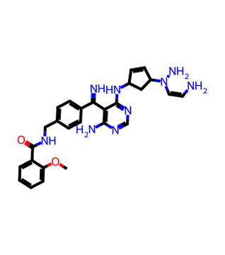 COc1ccccc1C(=O)NCc1ccc(C(=N)c2c(N)ncnc2NC2C=CC(N(N)/C=C\N)C2)cc1